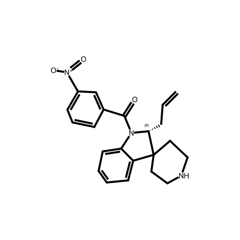 C=CC[C@H]1N(C(=O)c2cccc([N+](=O)[O-])c2)c2ccccc2C12CCNCC2